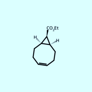 CCOC(=O)[C@@H]1[C@@H]2CC/C=C\CC[C@@H]21